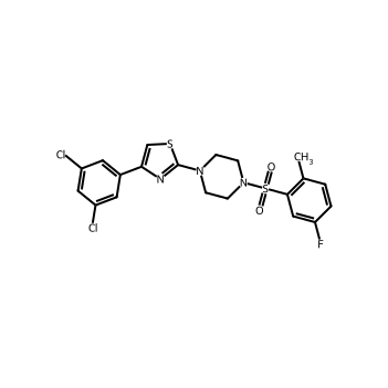 Cc1ccc(F)cc1S(=O)(=O)N1CCN(c2nc(-c3cc(Cl)cc(Cl)c3)cs2)CC1